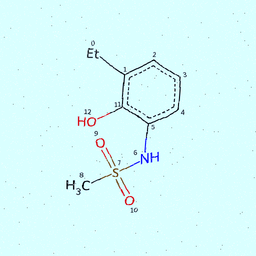 CCc1cccc(NS(C)(=O)=O)c1O